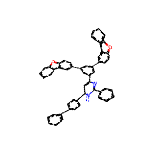 C1=C(c2cc(-c3ccc4oc5ccccc5c4c3)cc(-c3ccc4oc5ccccc5c4c3)c2)N=C(c2ccccc2)NC1c1ccc(-c2ccccc2)cc1